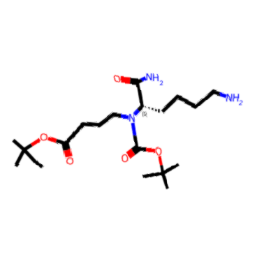 CC(C)(C)OC(=O)CCCN(C(=O)OC(C)(C)C)[C@@H](CCCCN)C(N)=O